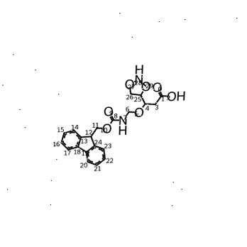 O=C(O)CC(OCNC(=O)OCC1c2ccccc2-c2ccccc21)C1CONO1